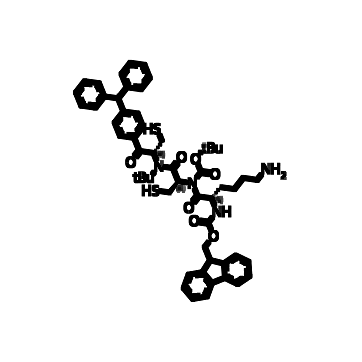 CC(C)(C)OC(=O)N(C(=O)[C@H](CCCCN)NC(=O)OCC1c2ccccc2-c2ccccc21)[C@@H](CS)C(=O)N([C@@H](CS)C(=O)c1ccc([C](c2ccccc2)c2ccccc2)cc1)C(C)(C)C